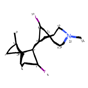 CC1CC12CC(I)C2C1C(I)C12CN(C)C2